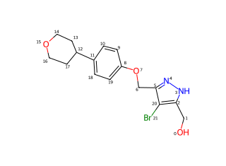 OCc1[nH]nc(COc2ccc(C3CCOCC3)cc2)c1Br